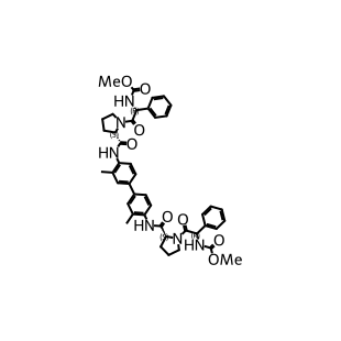 COC(=O)N[C@@H](C(=O)N1CCC[C@H]1C(=O)Nc1ccc(-c2ccc(NC(=O)[C@@H]3CCCN3C(=O)[C@H](NC(=O)OC)c3ccccc3)c(C)c2)cc1C)c1ccccc1